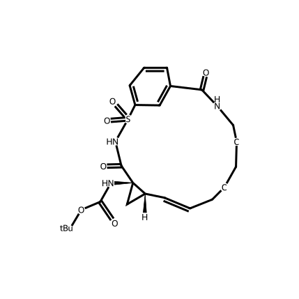 CC(C)(C)OC(=O)N[C@]12C[C@H]1/C=C\CCCCCNC(=O)c1cccc(c1)S(=O)(=O)NC2=O